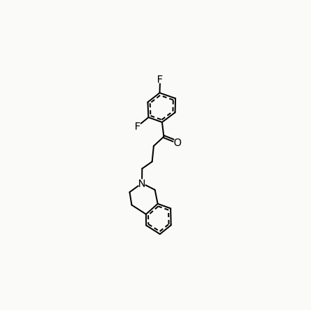 O=C(CCCN1CCc2ccccc2C1)c1ccc(F)cc1F